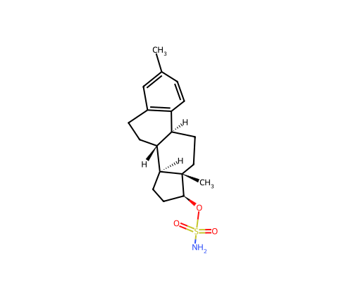 Cc1ccc2c(c1)CC[C@@H]1[C@@H]2CC[C@]2(C)[C@@H](OS(N)(=O)=O)CC[C@@H]12